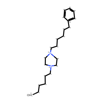 O=[C]CCCCCN1CCN(CCCCCCc2ccccc2)CC1